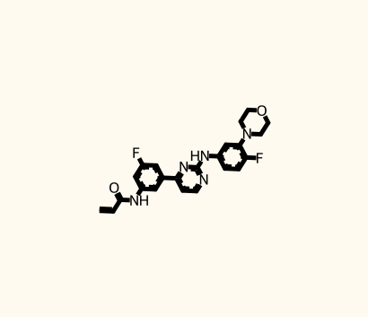 C=CC(=O)Nc1cc(F)cc(-c2ccnc(Nc3ccc(F)c(N4CCOCC4)c3)n2)c1